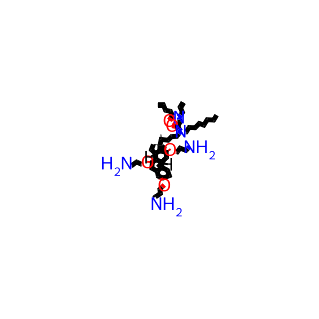 C=CCCC(=O)N(CC=C)CC(=O)N(CCCCCCCC)CCC[C@@H](C)[C@H]1CC[C@H]2C3[C@H](OCCCN)CC4C[C@H](OCCCN)CCC4(C)[C@H]3C[C@H](OCCCN)C12C